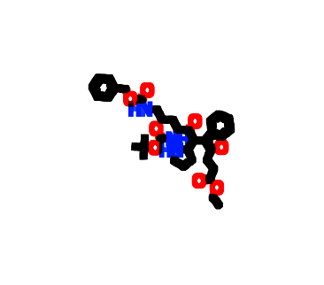 CCOC(=O)CCc1oc2ccccc2c1C(C(=O)C(CCCNC(=O)OCc1ccccc1)NC(=O)OC(C)(C)C)C1CCCN1